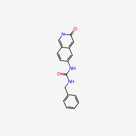 O=C1C=c2cc(NC(=O)NCc3ccccc3)ccc2=C[N]1